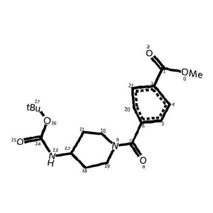 COC(=O)c1ccc(C(=O)N2CCC(NC(=O)OC(C)(C)C)CC2)cc1